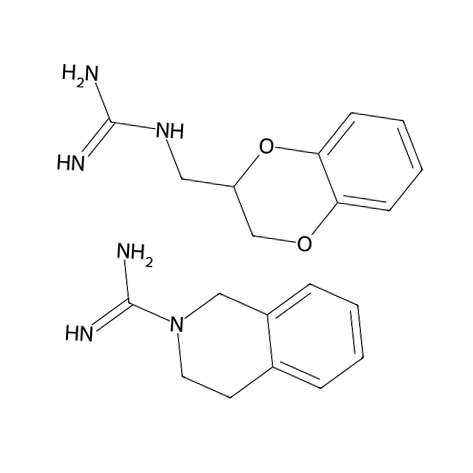 N=C(N)N1CCc2ccccc2C1.N=C(N)NCC1COc2ccccc2O1